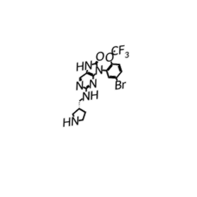 O=c1[nH]c2cnc(NC[C@@H]3CCNC3)nc2n1-c1cc(Br)ccc1OC(F)(F)F